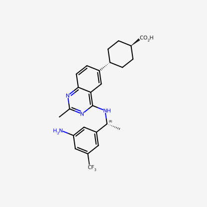 Cc1nc(N[C@H](C)c2cc(N)cc(C(F)(F)F)c2)c2cc([C@H]3CC[C@H](C(=O)O)CC3)ccc2n1